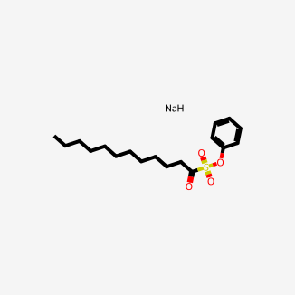 CCCCCCCCCCCC(=O)S(=O)(=O)Oc1ccccc1.[NaH]